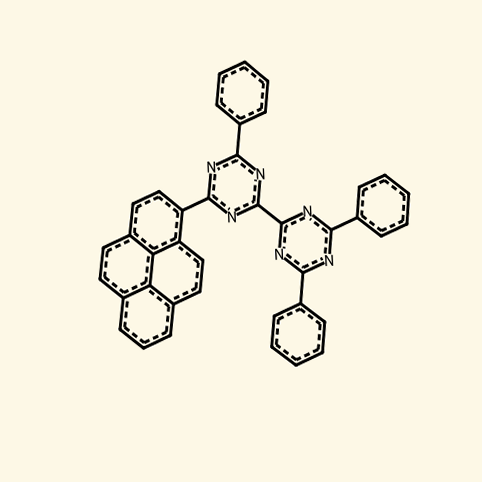 c1ccc(-c2nc(-c3ccccc3)nc(-c3nc(-c4ccccc4)nc(-c4ccc5ccc6cccc7ccc4c5c67)n3)n2)cc1